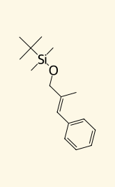 C/C(=C\c1ccccc1)CO[Si](C)(C)C(C)(C)C